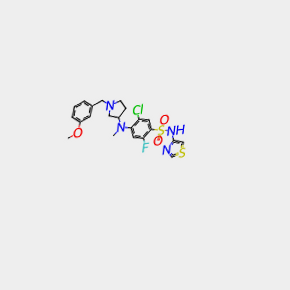 COc1cccc(CN2CCC(N(C)c3cc(F)c(S(=O)(=O)Nc4cscn4)cc3Cl)C2)c1